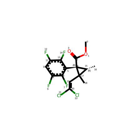 COC(=O)[C@]1(c2c(F)c(F)cc(F)c2F)[C@H](C)C1(C)C=C(Cl)Cl